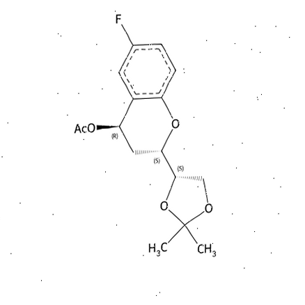 CC(=O)O[C@@H]1C[C@@H]([C@@H]2COC(C)(C)O2)Oc2ccc(F)cc21